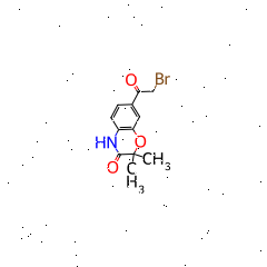 CC1(C)Oc2cc(C(=O)CBr)ccc2NC1=O